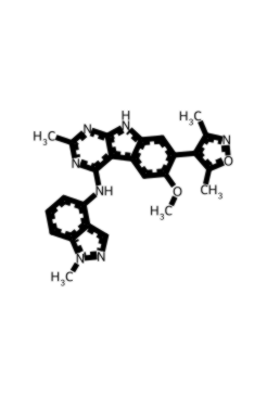 COc1cc2c(cc1-c1c(C)noc1C)[nH]c1nc(C)nc(Nc3cccc4c3cnn4C)c12